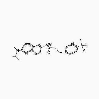 CC(C)N(C)c1ccc2cc(NC(=O)CCc3ccc(C(F)(F)F)nc3)ccc2n1